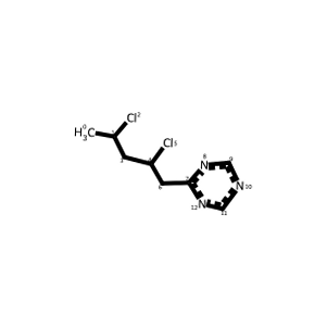 CC(Cl)CC(Cl)Cc1ncncn1